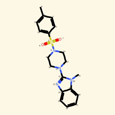 Cc1ccc(S(=O)(=O)N2CCN(c3nc4ccccc4n3C)CC2)cc1